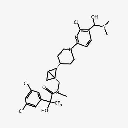 CN(C[C@]12CC1[C@@H]2C1CCN(c2ccc(C(O)N(C)C)c(Cl)n2)CC1)C(=O)[C@](O)(c1cc(Cl)cc(Cl)c1)C(F)(F)F